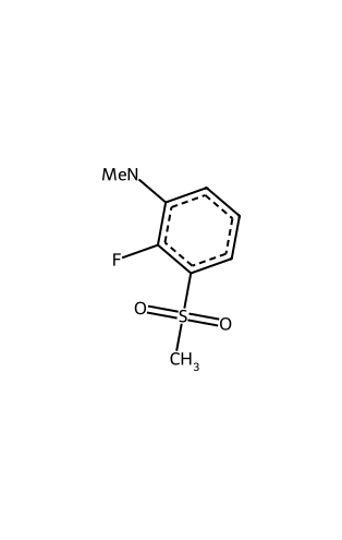 CNc1cccc(S(C)(=O)=O)c1F